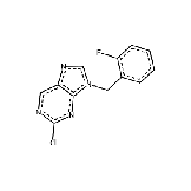 Fc1ccccc1Cn1cnc2cnc(Cl)nc21